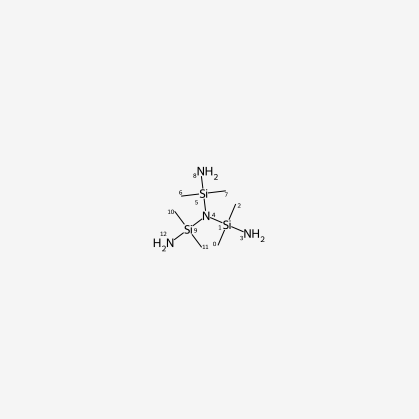 C[Si](C)(N)N([Si](C)(C)N)[Si](C)(C)N